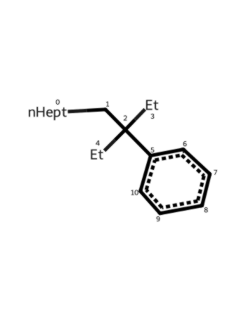 CCCCCCCCC(CC)(CC)c1[c]cccc1